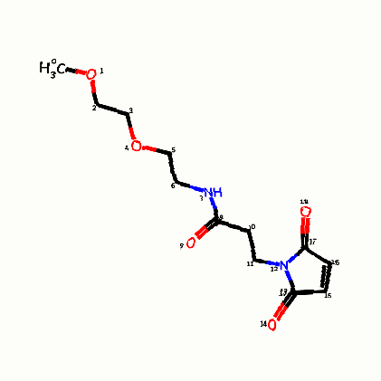 COCCOCCNC(=O)CCN1C(=O)C=CC1=O